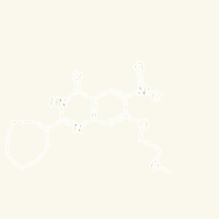 COCCOc1cc2nc(C3CCCCCCC3)[nH]c(=O)c2cc1[N+](=O)[O-]